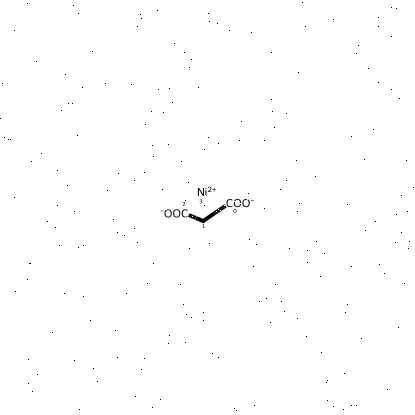 O=C([O-])CC(=O)[O-].[Ni+2]